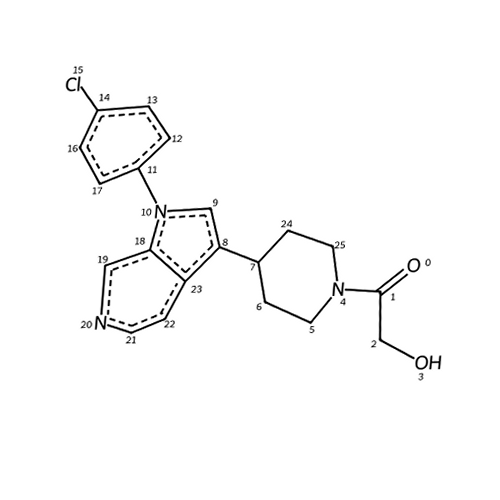 O=C(CO)N1CCC(c2cn(-c3ccc(Cl)cc3)c3cnccc23)CC1